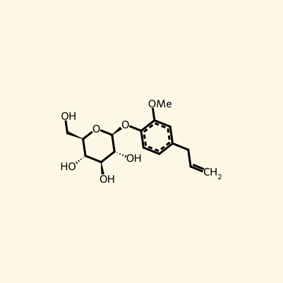 C=CCc1ccc(O[C@@H]2O[C@H](CO)[C@@H](O)[C@H](O)[C@H]2O)c(OC)c1